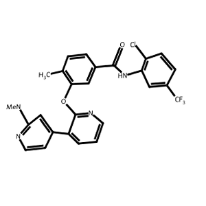 CNc1cc(-c2cccnc2Oc2cc(C(=O)Nc3cc(C(F)(F)F)ccc3Cl)ccc2C)ccn1